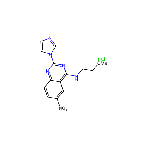 COCCNc1nc(-n2ccnc2)nc2ccc([N+](=O)[O-])cc12.Cl